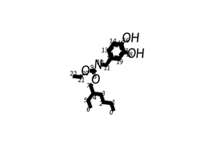 CCCCC(CC)COC(=NCc1ccc(O)c(O)c1)OCC